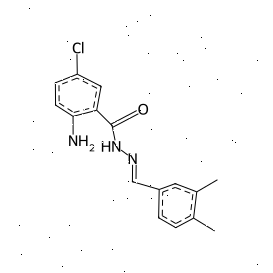 Cc1ccc(C=NNC(=O)c2cc(Cl)ccc2N)cc1C